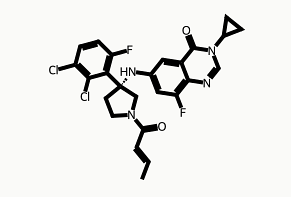 C/C=C/C(=O)N1CC[C@@](Nc2cc(F)c3ncn(C4CC4)c(=O)c3c2)(c2c(F)ccc(Cl)c2Cl)C1